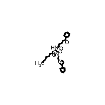 CCCCCCC(=O)C[C@H](NC(=O)CCCC(=O)c1ccccc1)C(=O)NCCN1CCC(c2ccccc2)C1